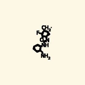 [CH2]c1ccc2nc(Nc3ccccc3CN)oc2c1F